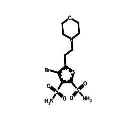 NS(=O)(=O)c1sc(CCN2CCOCC2)c(Br)c1S(N)(=O)=O